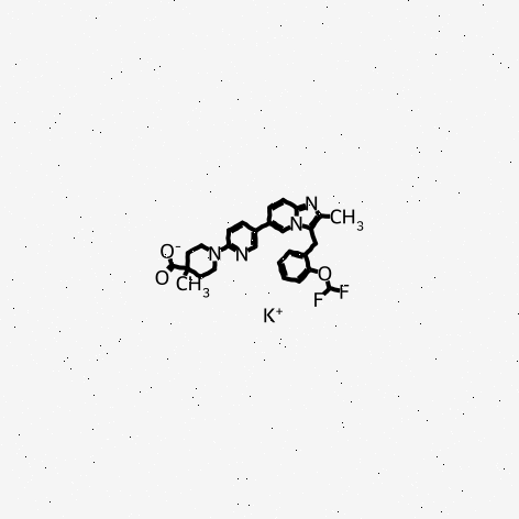 Cc1nc2ccc(-c3ccc(N4CCC(C)(C(=O)[O-])CC4)nc3)cn2c1Cc1ccccc1OC(F)F.[K+]